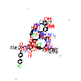 CN[C@H](CC(C)C)C(=O)NC1C(=O)N[C@@H](CC(N)=O)C(=O)N[C@H]2C(=O)NC3C(=O)N[C@H](C(=O)N[C@@H](C(=O)O)c4cc(O)cc(O)c4-c4cc3ccc4O)[C@H](O)c3ccc(c(Cl)c3)Oc3cc2cc(c3OC2OC(CO)C(O)C(O)C2OC(C)OC(C)C(O)C(C)(C)NCC(OCc2ccc(-c3ccc(Cl)cc3)cc2)C(=O)OC)Oc2ccc(cc2Cl)[C@H]1O